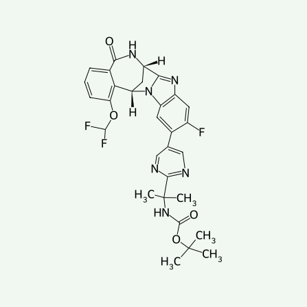 CC(C)(C)OC(=O)NC(C)(C)c1ncc(-c2cc3c(cc2F)nc2n3[C@H]3C[C@@H]2NC(=O)c2cccc(OC(F)F)c23)cn1